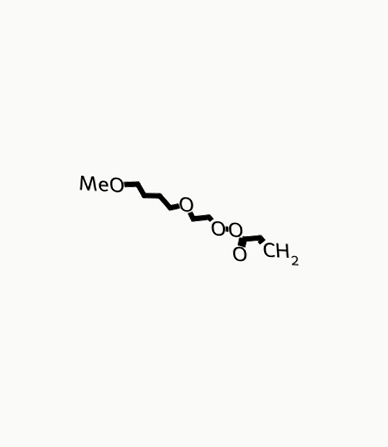 C=CC(=O)OOCCOCCCCOC